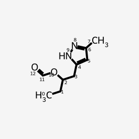 CCC(Cc1cc(C)n[nH]1)OC=O